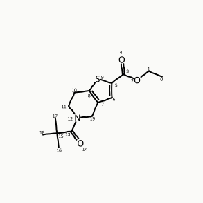 CCOC(=O)c1cc2c(s1)CCN(C(=O)C(C)(C)C)C2